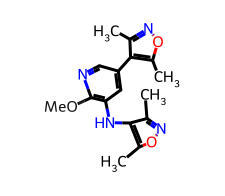 COc1ncc(-c2c(C)noc2C)cc1Nc1c(C)noc1C